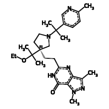 CCOC(C)(C)[C@@]1(CCc2nc3c(C)nn(C)c3c(=O)[nH]2)CCN(C(C)(C)c2ccc(C)nc2)C1